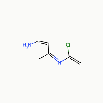 C=C(Cl)/N=C(C)\C=C/N